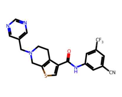 N#Cc1cc(NC(=O)c2csc3c2CCN(Cc2cncnc2)C3)cc(C(F)(F)F)c1